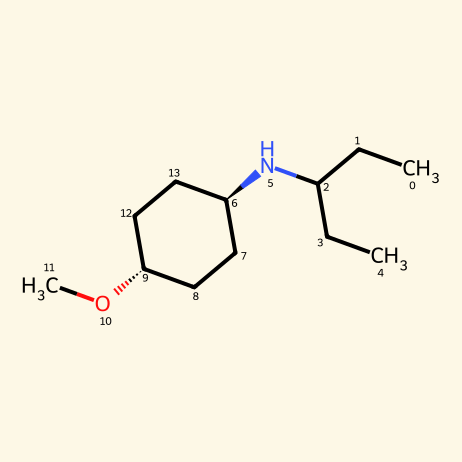 CCC(CC)N[C@H]1CC[C@H](OC)CC1